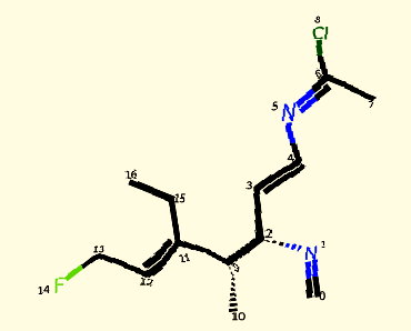 C=N[C@@H](/C=C/N=C(\C)Cl)[C@H](C)/C(=C/CF)CC